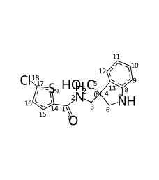 O=C(NC[C@]1(C(=O)O)CNc2ccccc21)c1ccc(Cl)s1